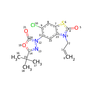 C=CCn1c(=O)sc2cc(Cl)c(-n3nc(C(C)(C)C)oc3=O)cc21